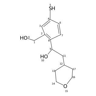 OCc1cc(S)ccc1C(O)CC1CCOCC1